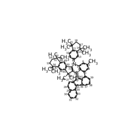 Cc1cc2c3c(c1)N(c1ccc4c(c1)C(C)(C)CCC4(C)C)C1=C(B3n3c4ccc5ccccc5c4c4cccc-2c43)C(C)(C)c2cc3c(cc21)C(C)(C)CCC3(C)C